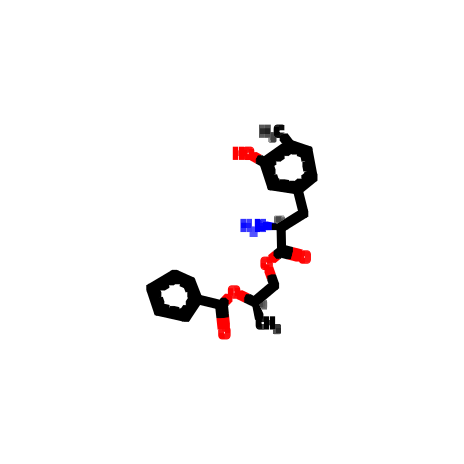 Cc1ccc(C[C@H](N)C(=O)OC[C@@H](C)OC(=O)c2ccccc2)cc1O